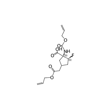 C=CCOC(=O)CC1C[C@H](F)[C@@](NC(=O)OCC=C)(C(=O)O)C1